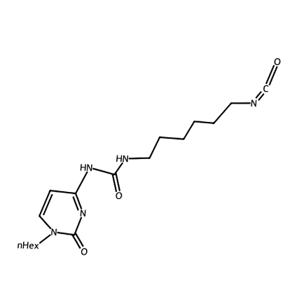 CCCCCCn1ccc(NC(=O)NCCCCCCN=C=O)nc1=O